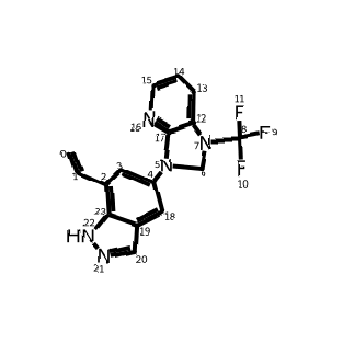 C=Cc1cc(N2CN(C(F)(F)F)c3cccnc32)cc2cn[nH]c12